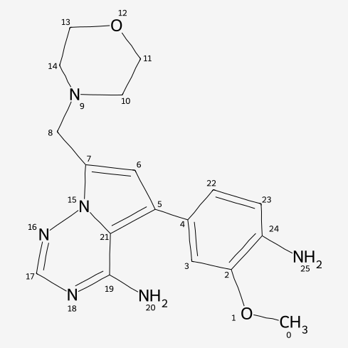 COc1cc(-c2cc(CN3CCOCC3)n3ncnc(N)c23)ccc1N